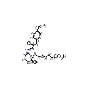 CCCOc1ccc(CC(=O)/C=C/[C@H]2CCCC(=O)N2CCSCCCC(=O)O)cc1